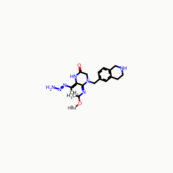 CCCCOC(C)/N=C1\C(=C(/C)N=NN)NC(=O)CN1Cc1ccc2c(c1)CCNC2